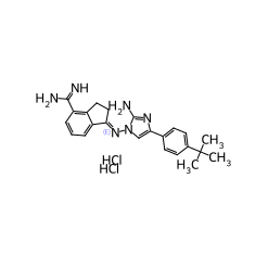 CC(C)(C)c1ccc(-c2cn(/N=C3\CCc4c(C(=N)N)cccc43)c(N)n2)cc1.Cl.Cl